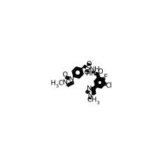 CN1CCN([C@H]2CC[C@H](CS(=O)(=O)NNC(=O)c3cc(-c4cn(C)cn4)cc(Cl)c3F)CC2)C1=O